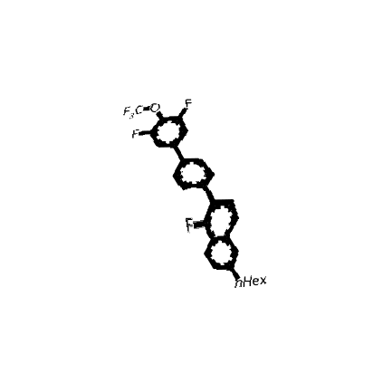 CCCCCCc1ccc2c(F)c(-c3ccc(-c4cc(F)c(OC(F)(F)F)c(F)c4)cc3)ccc2c1